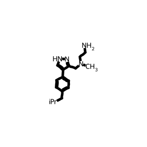 CC(C)Cc1ccc(-c2c[nH]nc2CN(C)CCN)cc1